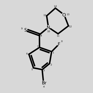 Fc1cc(Br)ccc1C(=S)N1CCOCC1